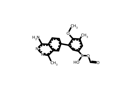 COc1c(C)cc(B(O)OC=O)cc1-c1ccc2c(N)nnc(C)c2c1